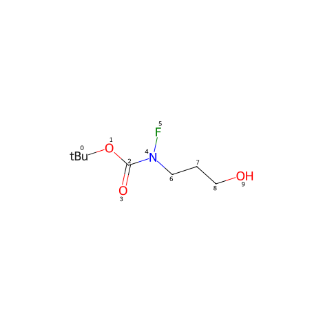 CC(C)(C)OC(=O)N(F)CCCO